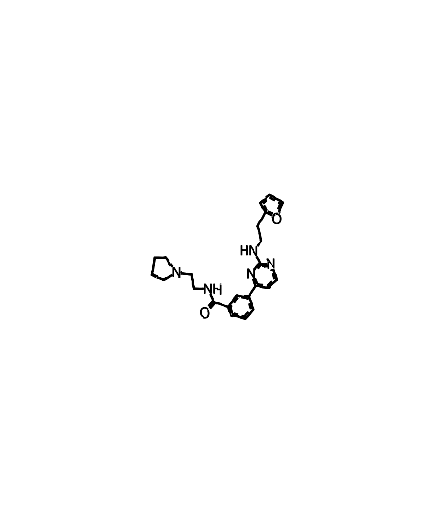 O=C(NCCN1CCCC1)c1cccc(-c2ccnc(NCCc3ccco3)n2)c1